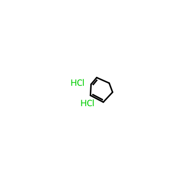 C1=CCCC=C1.Cl.Cl